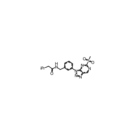 CC(C)CC(=O)NCc1cccc(-n2nnc3cnc(S(C)(=O)=O)nc32)c1